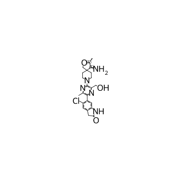 Cc1nc(N2CCC3(CC2)CO[C@@H](C)[C@H]3N)c(CO)nc1-c1cc2c(cc1Cl)CC(=O)N2